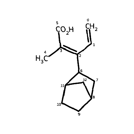 C=CC(=C(C)C(=O)O)C1CC2CCC1C2